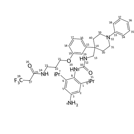 CC(C)c1cc(N)cc(C(C)C)c1NC(=O)NCC1(c2cccc(OCCCNC(=O)CC(F)(F)F)c2)CCN(c2ccccc2)CC1